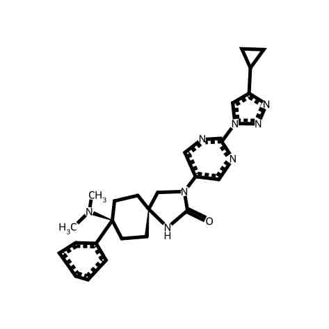 CN(C)[C@]1(c2ccccc2)CC[C@@]2(CC1)CN(c1cnc(-n3cc(C4CC4)nn3)nc1)C(=O)N2